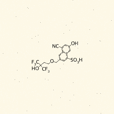 N#Cc1cc(O)cc2c(S(=O)(=O)O)cc(COCCC(O)(C(F)(F)F)C(F)(F)F)cc12